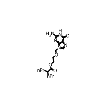 CCCC(CCC)C(=O)OCCOCn1cnc2c(=O)[nH]c(N)nc21